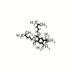 CCc1cc(C(=O)OCCCC(C)C)c(C(=O)OCCCC(C)C)cc1C(C)(C)C